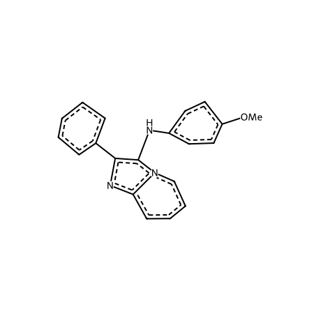 COc1ccc(Nc2c(-c3ccccc3)nc3ccccn23)cc1